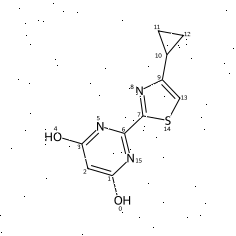 Oc1cc(O)nc(-c2nc(C3CC3)cs2)n1